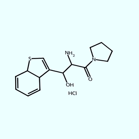 Cl.NC(C(=O)N1CCCC1)C(O)C1=CSC2C=CC=CC12